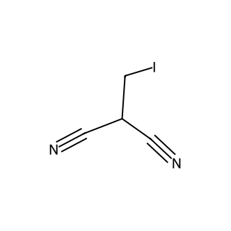 N#CC(C#N)CI